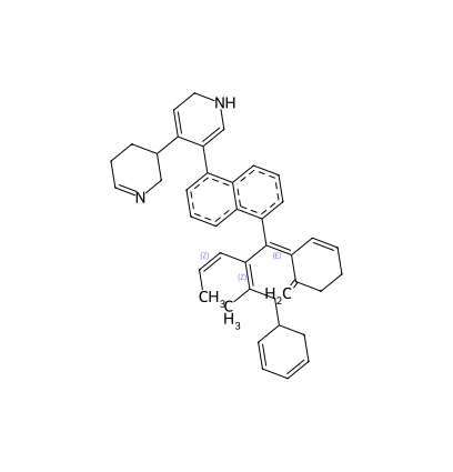 C=C1CCC=C/C1=C(C(/C=C\C)=C(/C)CC1C=CC=CC1)\c1cccc2c(C3=CNCC=C3C3CCC=NC3)cccc12